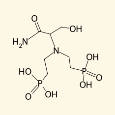 NC(=O)C(CO)N(CCP(=O)(O)O)CCP(=O)(O)O